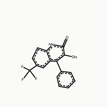 O=c1[nH]c2ccc(C(F)(F)F)cc2c(-c2ccccc2)c1O